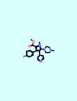 COC(=O)c1c(-c2ccc(F)cc2)c(-c2ccncc2)c(N2CCN(C)CC2)n1C